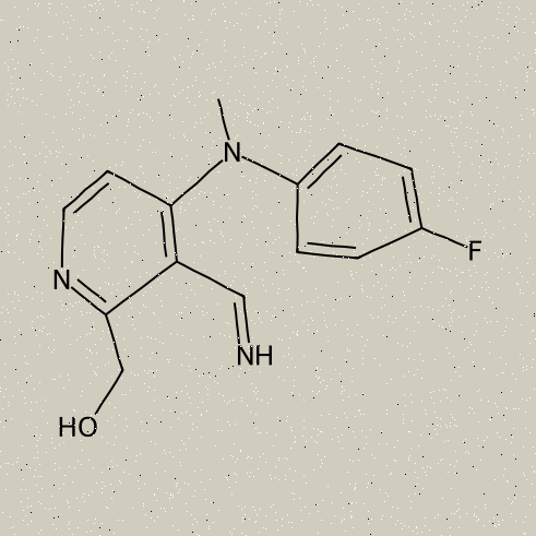 CN(c1ccc(F)cc1)c1ccnc(CO)c1C=N